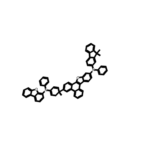 CC1(c2ccc3c(c2)c2ccccc2c2c4ccc(N(c5ccccc5)c5ccc6c(c5)C(C)(C)c5ccccc5-6)cc4oc32)C=CC(N(c2ccccc2)c2cccc3c2oc2ccccc23)=CC1